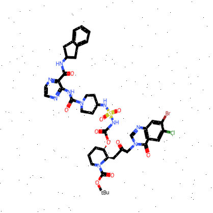 CC(C)(C)OC(=O)N1CCC[C@H](OC(=O)NS(=O)(=O)NC2CCN(C(=O)Nc3nccnc3C(=O)NC3Cc4ccccc4C3)CC2)[C@H]1CC(=O)Cn1cnc2cc(Br)c(Cl)cc2c1=O